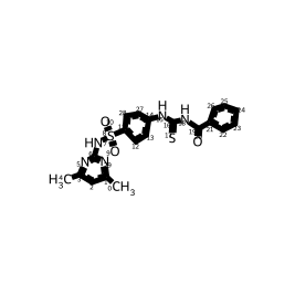 Cc1cc(C)nc(NS(=O)(=O)c2ccc(NC(=S)NC(=O)c3ccccc3)cc2)n1